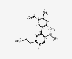 CC(C)N(C)c1cc(Cl)c(CCC(=O)O)cc1-c1ccc(N)c(C=N)c1